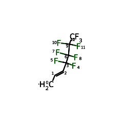 [CH2]/C=C/C(F)(F)C(F)(F)C(F)(F)C(F)(F)F